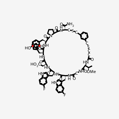 CO[C@H](C)[C@@H]1NC(=O)CCSCc2cccc(c2)CSC[C@@H](C(N)=O)NC(=O)[C@]2(C)CCCN2C(=O)[C@H](Cc2ccc(O)cc2)NC(=O)[C@H](Cc2cnc[nH]2)NC(=O)[C@H](CC(=O)O)NC(=O)[C@H](Cc2c[nH]c3ccc(F)cc23)NC(=O)[C@@H](Cc2c[nH]c3ccc(F)cc23)NC(=O)CNC1=O